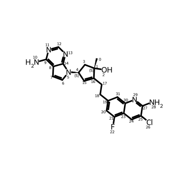 C[C@]1(O)C[C@H](n2ccc3c(N)ncnc32)C=C1CCc1cc(F)c2cc(Cl)c(N)nc2c1